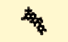 CC(Nc1ncnc2c(C(F)(F)F)cc(Cl)cc12)c1ncnn1-c1ccc(=O)n(C)n1